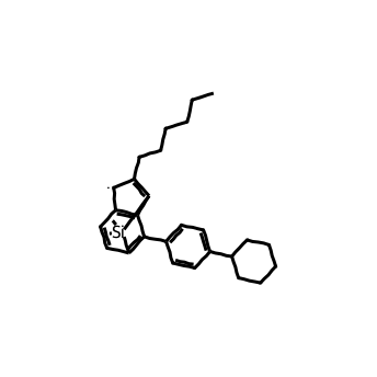 CCCCCCC1=C2c3c(ccc(c3-c3ccc(C4CCCCC4)cc3)[Si]2(C)C)[CH]1